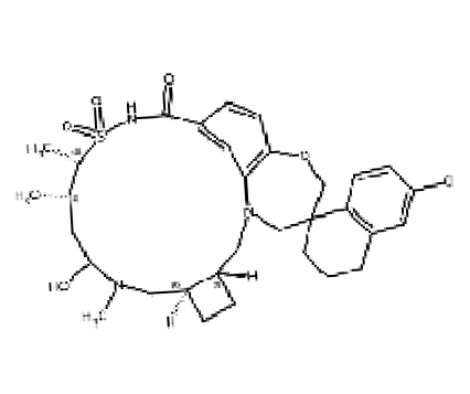 C[C@H]1CC(O)N(C)C[C@@H]2CC[C@H]2CN2CC3(CCCc4cc(Cl)ccc43)COc3ccc(cc32)C(=O)NS(=O)(=O)[C@H]1C